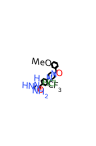 COc1cccc(C(=O)N2CCN(c3ccc(C(=O)NC(=N)N)cc3C(F)(F)F)CC2)c1.Cl